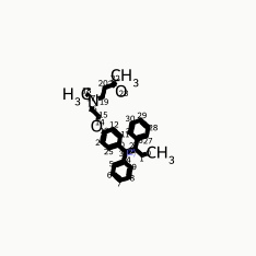 CC/C(=C(\c1ccccc1)c1ccc(OCCN(C)CCC(C)=O)cc1)c1ccccc1